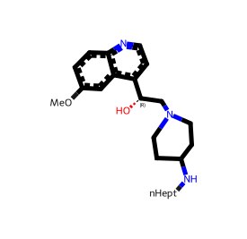 CCCCCCCNC1CCN(C[C@H](O)c2ccnc3ccc(OC)cc23)CC1